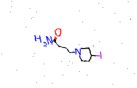 NC(=O)CCCN1CCC(I)CC1